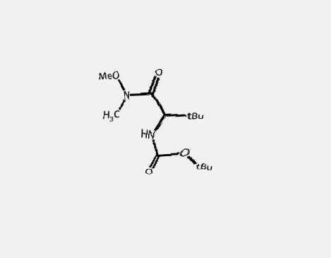 CON(C)C(=O)C(NC(=O)OC(C)(C)C)C(C)(C)C